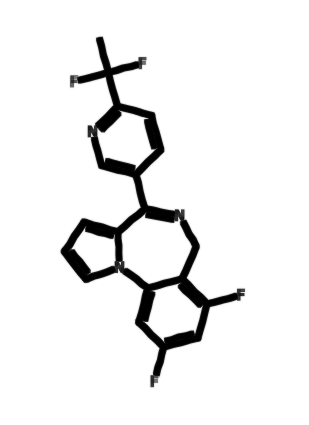 CC(F)(F)c1ccc(C2=NCc3c(F)cc(F)cc3-n3cccc32)cn1